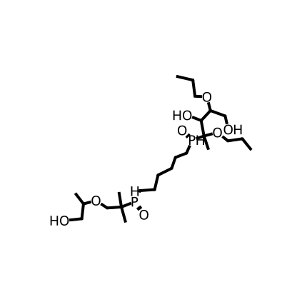 CCCOC(CO)C(O)C(C)(OCCC)[PH](=O)CCCCCC[PH](=O)C(C)(C)COC(C)CO